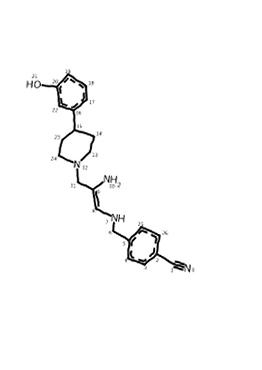 N#Cc1ccc(CN/C=C(\N)CN2CCC(c3cccc(O)c3)CC2)cc1